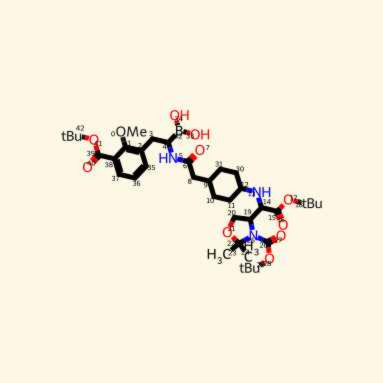 COc1c(CC(NC(=O)CC2CCC(NC(C(=O)OC(C)(C)C)C3COC(C)(C)N3C(=O)OC(C)(C)C)CC2)B(O)O)cccc1C(=O)OC(C)(C)C